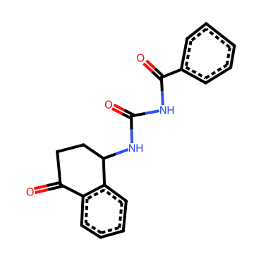 O=C(NC(=O)c1ccccc1)NC1CCC(=O)c2ccccc21